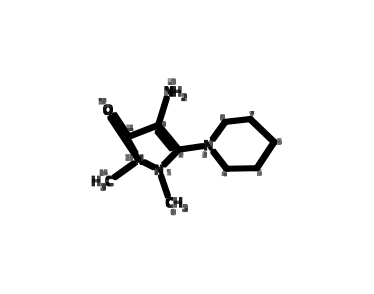 Cn1c(N2CCCCC2)c(N)c(=O)n1C